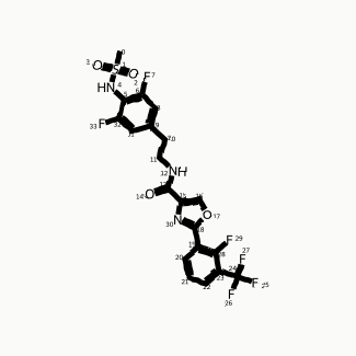 CS(=O)(=O)Nc1c(F)cc(CCNC(=O)c2coc(-c3cccc(C(F)(F)F)c3F)n2)cc1F